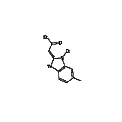 CCC(=O)C=C1[Te]c2ccc(C)cc2N1CC